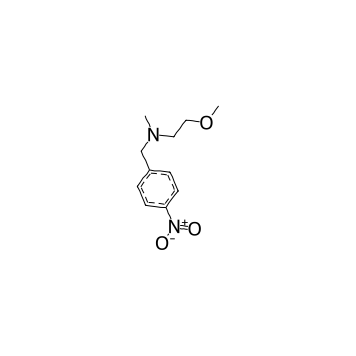 COCCN(C)Cc1ccc([N+](=O)[O-])cc1